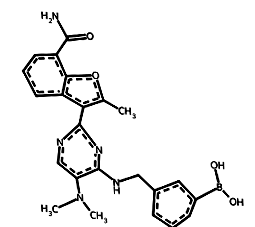 Cc1oc2c(C(N)=O)cccc2c1-c1ncc(N(C)C)c(NCc2cccc(B(O)O)c2)n1